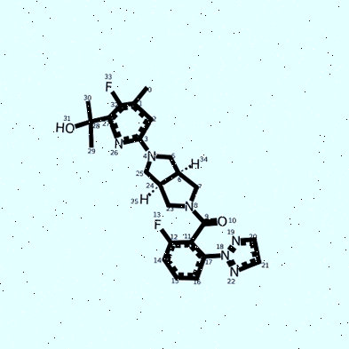 Cc1cc(N2C[C@H]3CN(C(=O)c4c(F)cccc4-n4nccn4)C[C@H]3C2)nc(C(C)(C)O)c1F